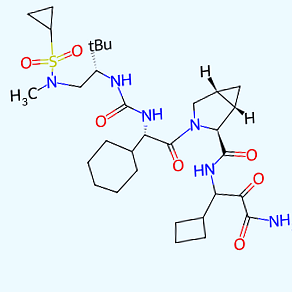 CN(C[C@@H](NC(=O)N[C@H](C(=O)N1C[C@@H]2C[C@@H]2[C@H]1C(=O)NC(C(=O)C(N)=O)C1CCC1)C1CCCCC1)C(C)(C)C)S(=O)(=O)C1CC1